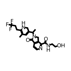 CC1=C(CCC(F)(F)F)NCC(C(C)N2Cc3c(ccnc3C(=O)NCCO)C2=O)=C1